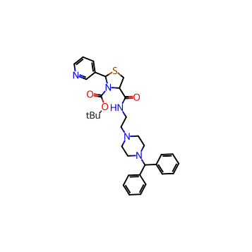 CC(C)(C)OC(=O)N1C(C(=O)NCCN2CCN(C(c3ccccc3)c3ccccc3)CC2)CSC1c1cccnc1